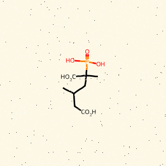 CC(CC(=O)O)CC(C)(C(=O)O)P(=O)(O)O